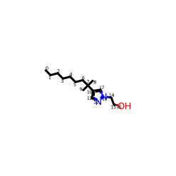 CCCCCCCC(C)(C)c1cnn(CCO)c1